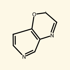 [CH]1C=Nc2cnccc2O1